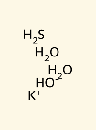 O.O.S.[K+].[OH-]